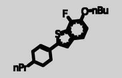 CCCCOc1ccc2cc(C3=CCC(CCC)CC3)sc2c1F